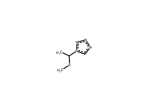 CSC(C)n1cnnn1